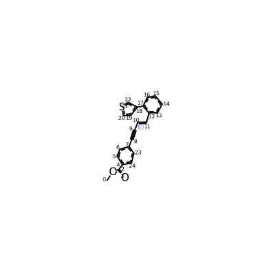 COC(=O)c1ccc(C#C/C=C/c2ccccc2-c2ccsc2)cc1